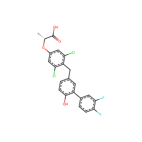 C[C@@H](Oc1cc(Cl)c(Cc2ccc(O)c(-c3ccc(F)c(F)c3)c2)c(Cl)c1)C(=O)O